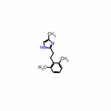 Cc1c[nH]c(CCc2c(C)cccc2C)n1